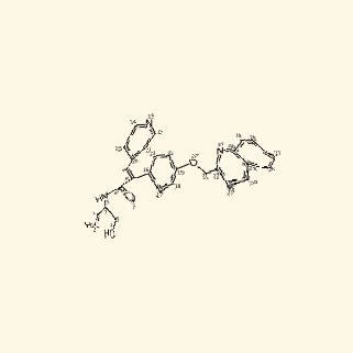 C=CC(CO)NC(=O)/C(=C/c1ccncc1)c1ccc(OCc2ccc3ccccc3n2)cc1